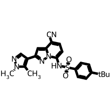 Cc1c(-c2cc3c(C#N)ccc(NS(=O)(=O)c4ccc(C(C)(C)C)cc4)n3n2)cnn1C